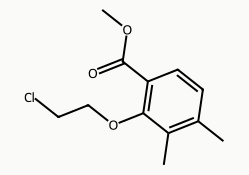 COC(=O)c1ccc(C)c(C)c1OCCCl